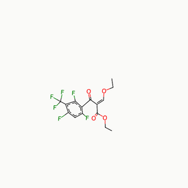 CCO/C=C(/C(=O)OCC)C(=O)c1c(F)cc(F)c(C(F)(F)F)c1F